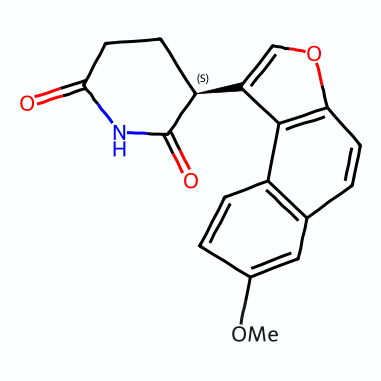 COc1ccc2c(ccc3occ([C@@H]4CCC(=O)NC4=O)c32)c1